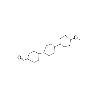 COC1CCC(C2CCC(C3CCC(C=O)CC3)CC2)CC1